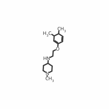 CC1C=CC(OCCNC2CCN(C)CC2)=CC1C